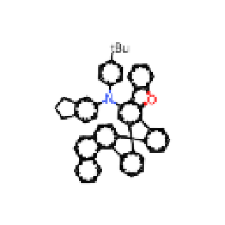 CC(C)(C)c1ccc(N(c2ccc3c(c2)CCC3)c2cc3c(c4oc5ccccc5c24)-c2ccccc2C32c3ccccc3-c3c2ccc2ccc4ccccc4c32)cc1